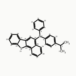 CC(C)c1ccc(N(c2ccccc2)c2cc3c4ccccc4sc3c3ccccc23)cc1